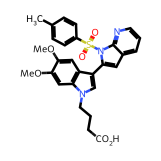 COc1cc2c(-c3cc4cccnc4n3S(=O)(=O)c3ccc(C)cc3)cn(CCCC(=O)O)c2cc1OC